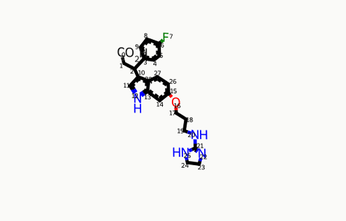 O=C(O)CC(c1ccc(F)cc1)c1c[nH]c2cc(OCCCNC3=NCCN3)ccc12